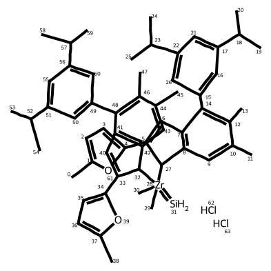 Cc1ccc(C2=Cc3c(cc(C)c(C)c3-c3cc(C(C)C)cc(C(C)C)c3)[CH]2[Zr]([CH3])([CH3])(=[SiH2])[CH]2C(c3ccc(C)o3)=Cc3c2cc(C)c(C)c3-c2cc(C(C)C)cc(C(C)C)c2)o1.Cl.Cl